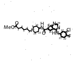 COC(=O)CCCCCN1CCC(NC(=O)c2cc3c(Nc4ccc(F)c(Cl)c4)ncnc3s2)CC1